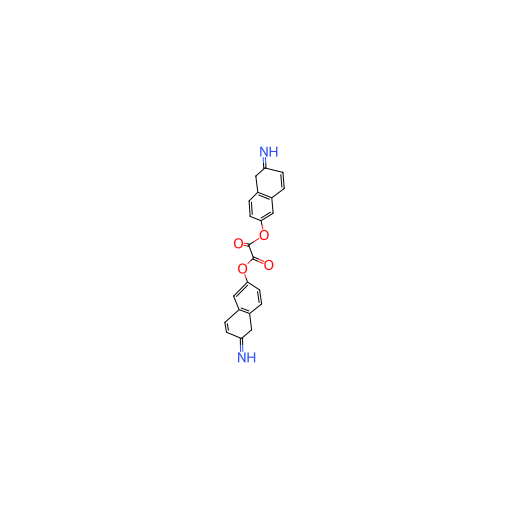 N=C1C=Cc2cc(OC(=O)C(=O)Oc3ccc4c(c3)C=CC(=N)C4)ccc2C1